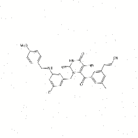 COc1ccc(CNc2cc(Cn3c(C(=O)c4cc(C)cc(C=CC#N)c4)c(C(C)C)c(=O)[nH]c3=O)cc(Cl)n2)cc1